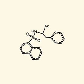 CC(=O)C(Cc1ccccc1)NS(=O)(=O)c1cccc2ccccc12